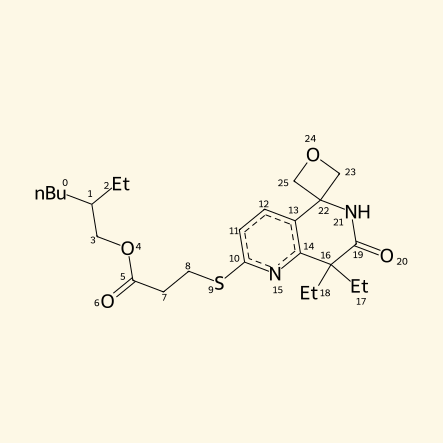 CCCCC(CC)COC(=O)CCSc1ccc2c(n1)C(CC)(CC)C(=O)NC21COC1